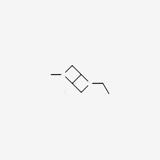 CCN1C[C@@H]2C1CN2C